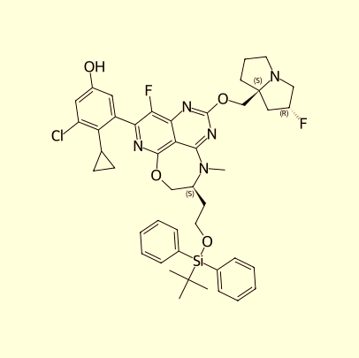 CN1c2nc(OC[C@@]34CCCN3C[C@H](F)C4)nc3c(F)c(-c4cc(O)cc(Cl)c4C4CC4)nc(c23)OC[C@@H]1CCO[Si](c1ccccc1)(c1ccccc1)C(C)(C)C